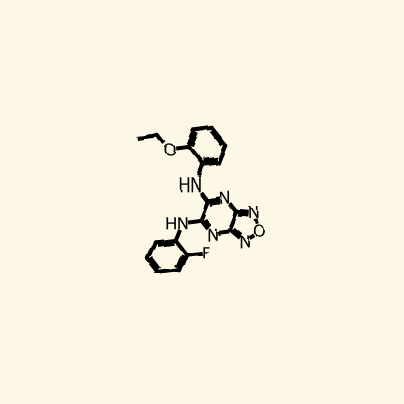 CCOc1ccccc1Nc1nc2nonc2nc1Nc1ccccc1F